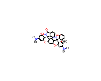 CCN(CC)c1ccc2c(c1)Oc1cc3c(cc1C2(NO)c1ccccc1C=O)C1(c2ccc(N(CC)CC)cc2O3)c2ccccc2C(=O)N1O